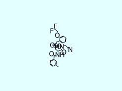 Cc1cccc(C(=O)N[C@@H](CS(=O)(=O)Cc2ccccc2OCC(F)F)C(=O)NCC#N)c1